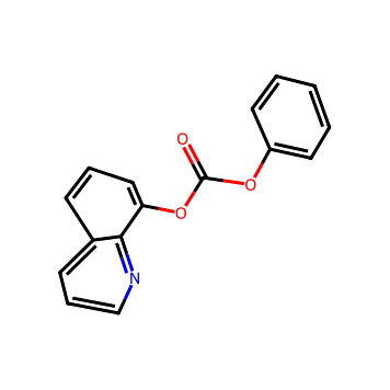 O=C(Oc1ccccc1)Oc1cccc2cccnc12